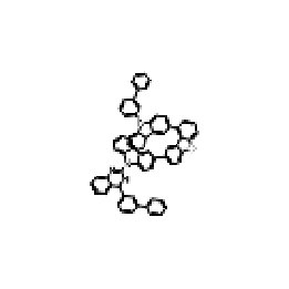 c1ccc(-c2cccc(-c3nc(-n4c5ccccc5c5cc(-c6ccc7oc8cccc(-c9ccc%10c(c9)c9ccccc9n%10-c9cccc(-c%10ccccc%10)c9)c8c7c6)ccc54)nc4ccccc34)c2)cc1